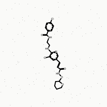 O=C(/C=C/c1cnc(NCCNC(=O)c2ccc(Cl)cc2)c(Cl)c1)NOC1CCCCO1